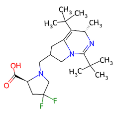 C[C@@H]1N=C(C(C)(C)C)N2CC(CN3CC(F)(F)C[C@H]3C(=O)O)CC2=C1C(C)(C)C